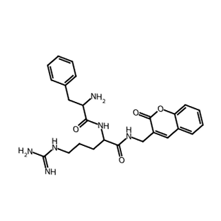 N=C(N)NCCCC(NC(=O)C(N)Cc1ccccc1)C(=O)NCc1cc2ccccc2oc1=O